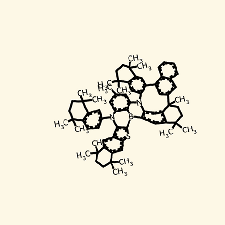 Cc1cc2c3c(c1)N(c1ccc4c(c1)C(C)(C)CCC4(C)C)c1c(sc4cc5c(cc14)C(C)(C)CCC5(C)C)B3c1cc3c4cc1N2c1cc2c(cc1-c1cc(cc5ccccc15)C4(C)CCC3(C)C)C(C)(C)CCC2(C)C